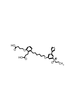 CCCS(=O)(=O)c1cc(OCCCCCCc2cccc(OCCCC(=O)O)c2CCC(=O)O)cc(-c2ccsc2)c1